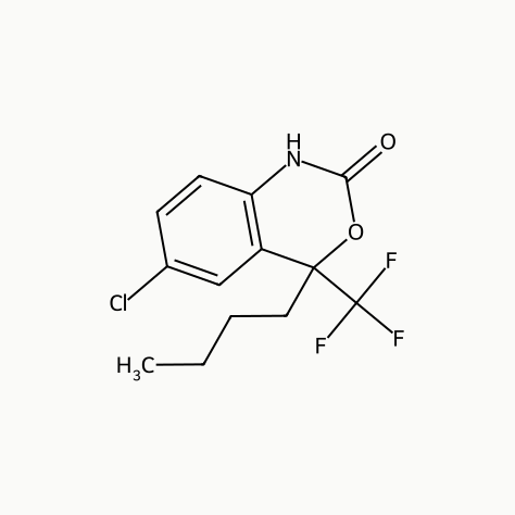 CCCCC1(C(F)(F)F)OC(=O)Nc2ccc(Cl)cc21